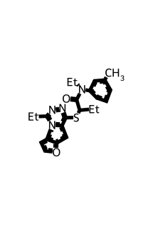 CCc1nnc(SC(CC)C(=O)N(CC)c2cccc(C)c2)c2cc3occc3n12